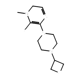 CN1CC=NC(N2CCN(C3COC3)CC2)=C1Cl